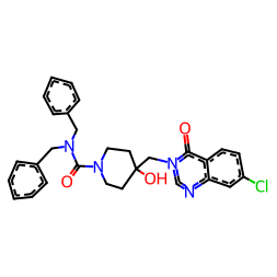 O=C(N1CCC(O)(Cn2cnc3cc(Cl)ccc3c2=O)CC1)N(Cc1ccccc1)Cc1ccccc1